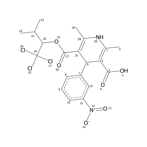 CC1=C(C(=O)O)C(c2cccc([N+](=O)[O-])c2)C(C(=O)OC(C(C)C)C(Cl)(Cl)Cl)=C(C)N1